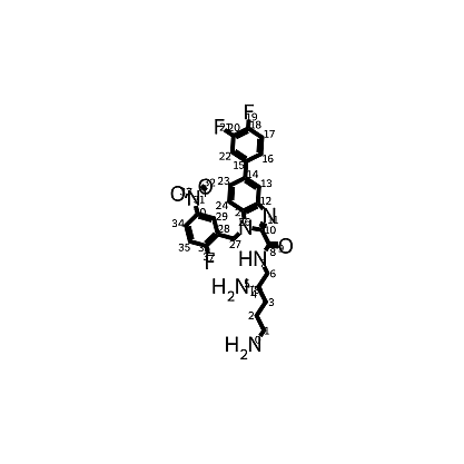 NCCC[C@H](N)CNC(=O)c1nc2cc(-c3ccc(F)c(F)c3)ccc2n1Cc1cc([N+](=O)[O-])ccc1F